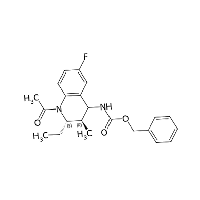 CC[C@H]1[C@H](C)C(NC(=O)OCc2ccccc2)c2cc(F)ccc2N1C(C)=O